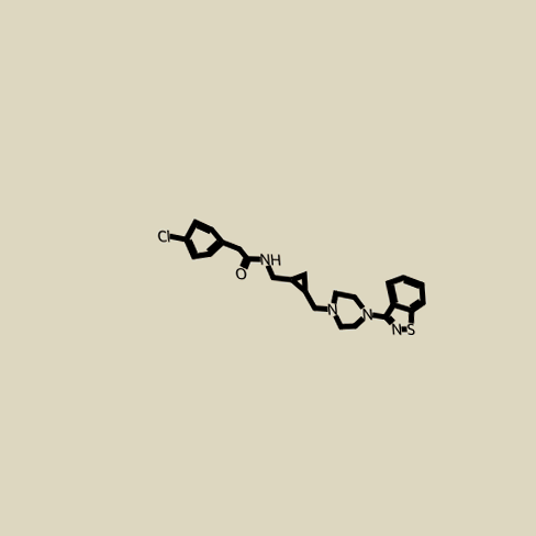 O=C(Cc1ccc(Cl)cc1)NCC1CC1CN1CCN(c2nsc3ccccc23)CC1